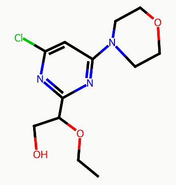 CCOC(CO)c1nc(Cl)cc(N2CCOCC2)n1